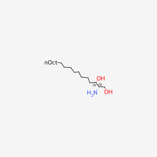 CCCCCCCCCCCCCCCC[C@H](O)[C@@H](N)CO